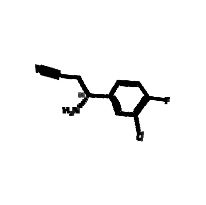 N#CC[C@@H](N)c1ccc(F)c(Cl)c1